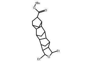 CCC1OC(CC)C2C3CC(C12)C1C2CC(C4C5CC(CC5C(=O)OC(C)(C)C)C24)C31